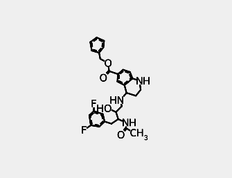 CC(=O)NC(Cc1cc(F)cc(F)c1)C(O)CNC1CCNc2ccc(C(=O)OCc3ccccc3)cc21